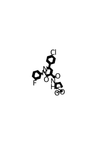 O=C(NC1CCS(=O)(=O)C1)c1cc(-c2ccc(Cl)cc2)nn(-c2cccc(F)c2)c1=O